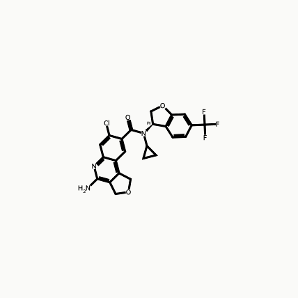 Nc1nc2cc(Cl)c(C(=O)N(C3CC3)[C@H]3COc4cc(C(F)(F)F)ccc43)cc2c2c1COC2